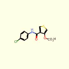 O=C(O)Oc1cscc1C(=O)Nc1ccc(Cl)cc1